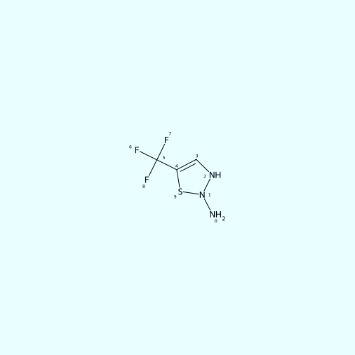 NN1NC=C(C(F)(F)F)S1